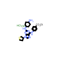 CCOC(=O)c1ccc(Nc2nc(NC3CCC(N)CC3)nc3c2ncn3C2CCSC2)cc1.Cl.Cl